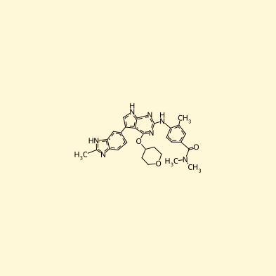 Cc1nc2ccc(-c3c[nH]c4nc(Nc5ccc(C(=O)N(C)C)cc5C)nc(OC5CCOCC5)c34)cc2[nH]1